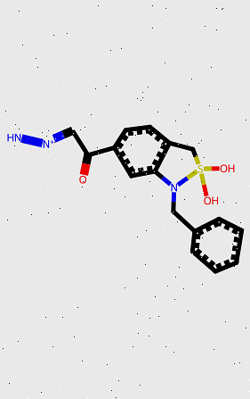 N=[N+]=CC(=O)c1ccc2c(c1)N(Cc1ccccc1)S(O)(O)C2